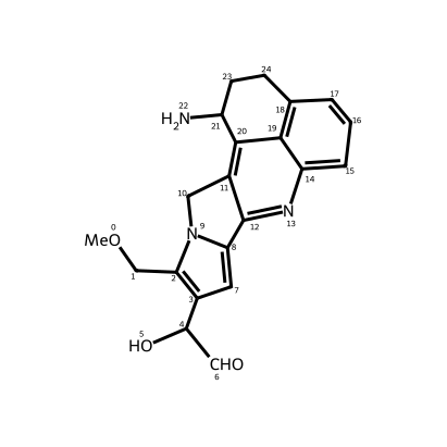 COCc1c(C(O)C=O)cc2n1Cc1c-2nc2cccc3c2c1C(N)CC3